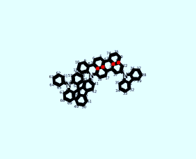 c1ccc(-c2ccc(-c3ccccc3N(c3ccc(-c4cccc(-n5c6ccccc6c6ccccc65)c4)cc3)c3ccc4c(c3)C3(c5ccccc5-4)c4ccccc4N(c4ccccc4)c4ccccc43)cc2)cc1